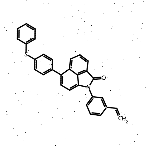 C=Cc1cccc(N2C(=O)c3cccc4c(-c5ccc(Sc6ccccc6)cc5)ccc2c34)c1